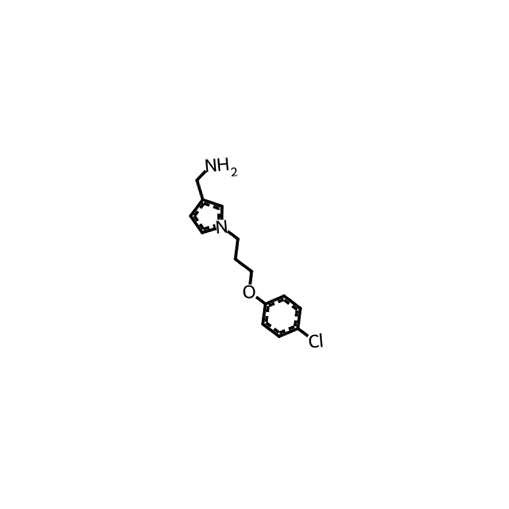 NCc1ccn(CCCOc2ccc(Cl)cc2)c1